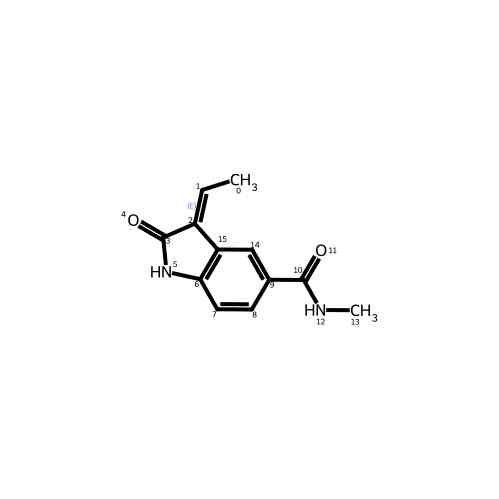 C/C=C1/C(=O)Nc2ccc(C(=O)NC)cc21